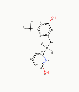 CC(C)(C)c1cc(O)cc(CC(C)(C)c2cccc(O)n2)c1